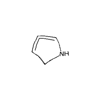 C1=CCNC=1